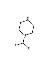 FC(F)N1CCNCC1